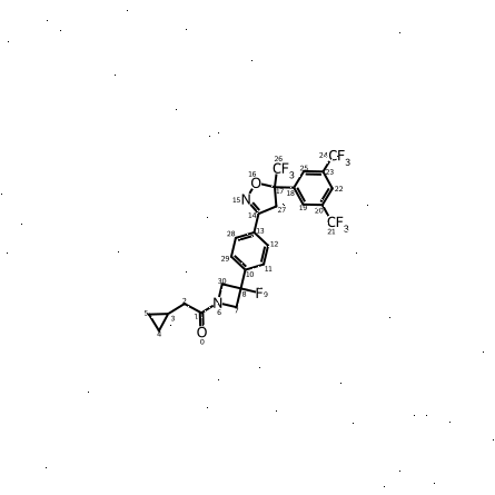 O=C(CC1CC1)N1CC(F)(c2ccc(C3=NOC(c4cc(C(F)(F)F)cc(C(F)(F)F)c4)(C(F)(F)F)C3)cc2)C1